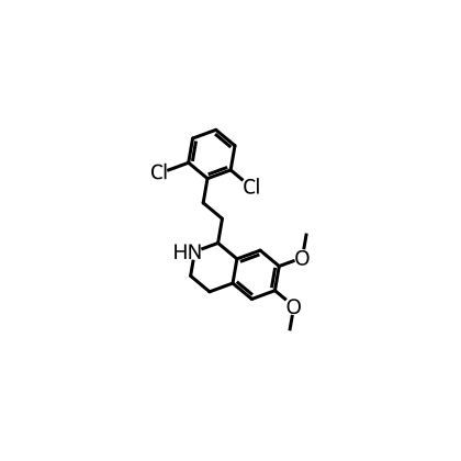 COc1cc2c(cc1OC)C(CCc1c(Cl)cccc1Cl)NCC2